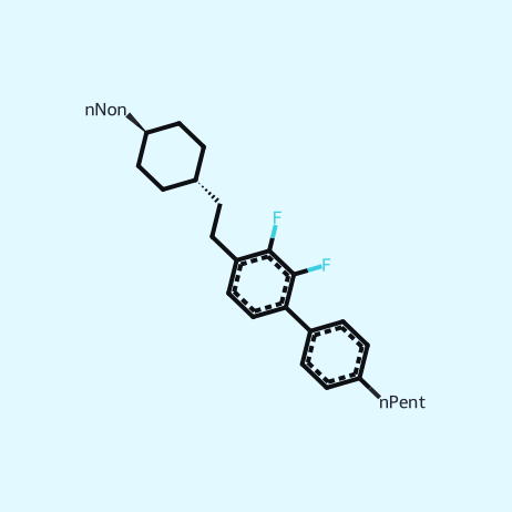 CCCCCCCCC[C@H]1CC[C@H](CCc2ccc(-c3ccc(CCCCC)cc3)c(F)c2F)CC1